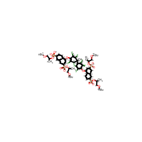 CCCCOCC(C)OS(=O)(=O)c1ccc2c(OC3=C(F)C(F)C(C)(c4c(F)c(F)c(Oc5cc(S(=O)(=O)OC(C)COCCCC)cc6cc(S(=O)(=O)OC(C)COCCCC)ccc56)c(F)c4F)C(F)=C3F)cc(S(=O)(=O)OC(C)COCCCC)cc2c1